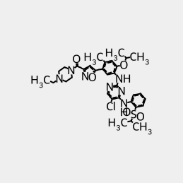 CCN1CCN(C(=O)c2cc(-c3cc(Nc4ncc(Cl)c(Nc5ccccc5S(=O)(=O)C(C)C)n4)c(OC(C)C)cc3C)on2)CC1